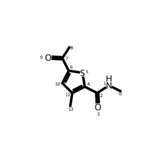 CNC(=O)c1sc(C(C)=O)cc1C